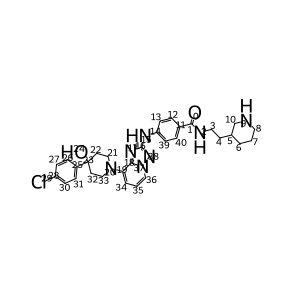 O=C(NCCC1CCCNC1)c1ccc(Nc2nc3c(N4CCC(O)(c5ccc(Cl)cc5)CC4)cccn3n2)cc1